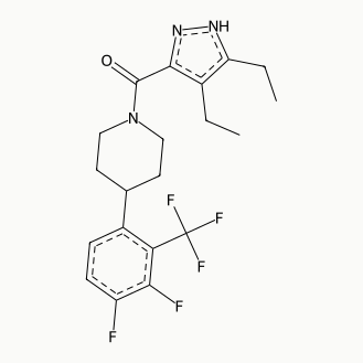 CCc1[nH]nc(C(=O)N2CCC(c3ccc(F)c(F)c3C(F)(F)F)CC2)c1CC